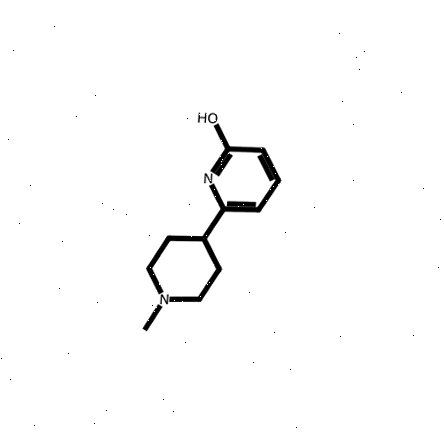 CN1CCC(c2cccc(O)n2)CC1